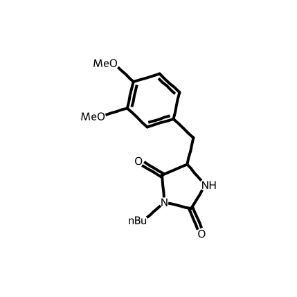 CCCCN1C(=O)NC(Cc2ccc(OC)c(OC)c2)C1=O